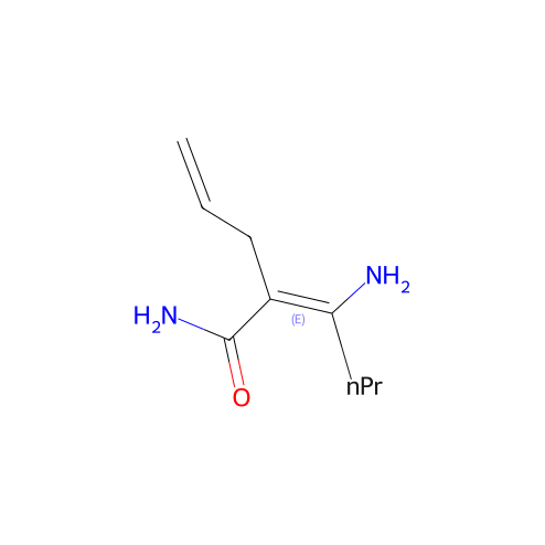 C=CC/C(C(N)=O)=C(\N)CCC